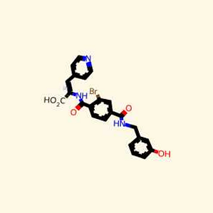 O=C(O)/C(=C/c1ccncc1)NC(=O)c1ccc(C(=O)NCc2cccc(O)c2)cc1Br